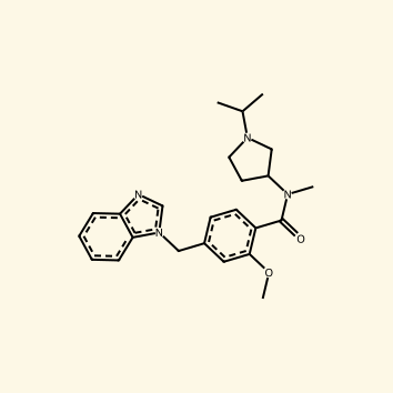 COc1cc(Cn2cnc3ccccc32)ccc1C(=O)N(C)C1CCN(C(C)C)C1